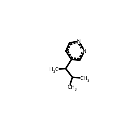 CC(C)C(C)c1ccnnc1